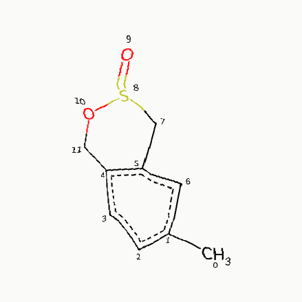 Cc1ccc2c(c1)CS(=O)OC2